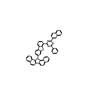 c1ccc(-c2nc(-c3ccc4ccccc4c3)nc(-c3cccc4c3sc3cc(-n5c6c7ccccc7ccc6c6ccc7ccccc7c65)ccc34)n2)cc1